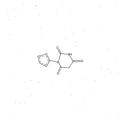 O=C1CC(=O)N(c2ccco2)C(=O)N1